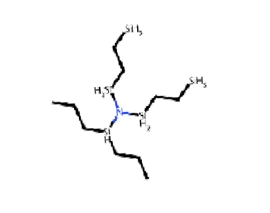 CCC[SiH](CCC)N([SiH2]CC[SiH3])[SiH2]CC[SiH3]